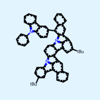 CC(C)(C)c1ccc2c(c1)c1c3ccccc3cc3c4c5c6cc(C(C)(C)C)cc7c8cc9ccccc9c(-c9ccc%10c(c9)c9ccccc9n%10-c9ccccc9)c8n(c5ccc4n2c31)c76